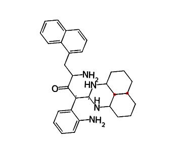 Nc1ccccc1[C]([C](NC1CCCCC1)NC1CCCCC1)C(=O)C(N)Cc1cccc2ccccc12